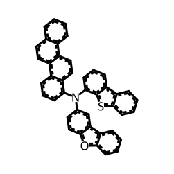 c1ccc2c(c1)ccc1c3cccc(N(c4ccc5oc6ccccc6c5c4)c4cccc5c4sc4ccccc45)c3ccc21